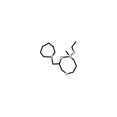 CCO[Si]1(C)CCCOCC(CN2CCCCCC2)O1